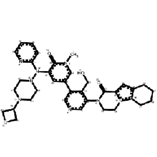 Cn1cc(-c2cncc(N3CCn4c(cc5c4CCCC5)C3=O)c2CO)cc(N(c2ccccn2)N2CCN(C3COC3)CC2)c1=O